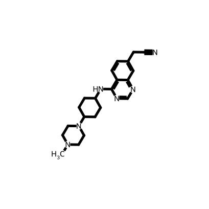 CN1CCN(C2CCC(Nc3ncnc4cc(CC#N)ccc34)CC2)CC1